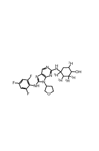 [2H]C1CC([2H])(Nc2ncc3nc(Nc4c(F)cc(F)cc4F)n(C4CCOC4)c3n2)C([2H])C([2H])([2H])C1O